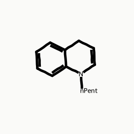 CCCCCN1C=CCc2ccccc21